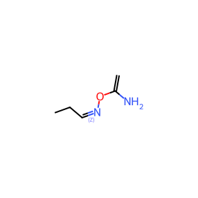 C=C(N)O/N=C\CC